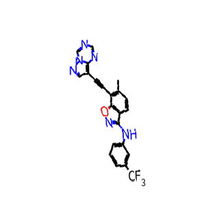 Cc1ccc2c(Nc3cccc(C(F)(F)F)c3)noc2c1C#Cc1cnn2cncnc12